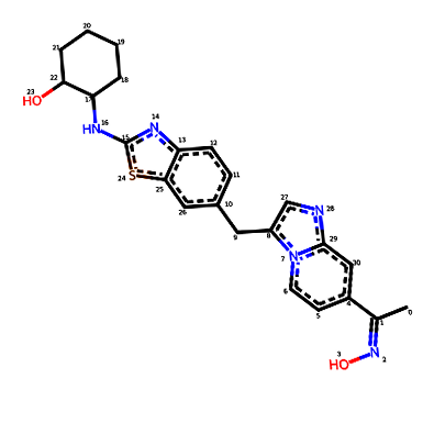 C/C(=N/O)c1ccn2c(Cc3ccc4nc(NC5CCCCC5O)sc4c3)cnc2c1